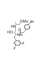 COCC(C)NC[C@@H](O)[C@H](Cc1cc(F)cc(F)c1)NC(=O)Cc1ccc(C(C)C)cc1